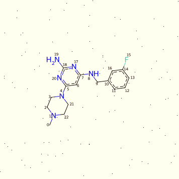 CN1CCN(c2cc(NCc3cccc(F)c3)nc(N)n2)CC1